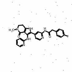 CN1CCc2[nH]c(-c3ccnc(NC(=O)Cc4ccc(F)cc4)c3)c(Nc3ccccn3)c2C1=O